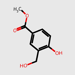 COC(=O)c1ccc(O)c(CO)c1